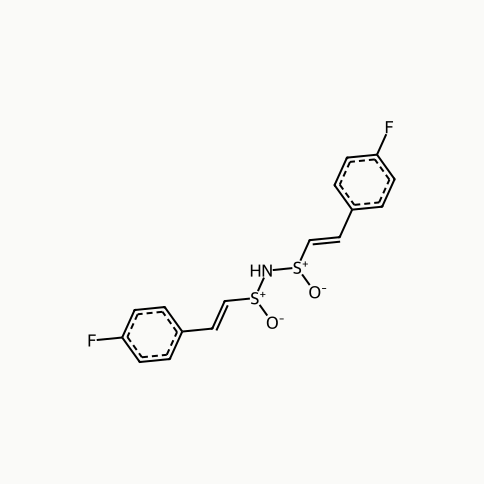 [O-][S+](C=Cc1ccc(F)cc1)N[S+]([O-])C=Cc1ccc(F)cc1